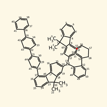 CC1(C)c2ccccc2-c2ccc(N(c3ccc4c(c3)C(C)(C)c3cccc(-c5ccc(-c6ccc(-c7ccccc7)cc6)cc5)c3-4)c3ccccc3C3=CC=CCC3)cc21